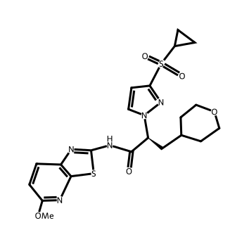 COc1ccc2nc(NC(=O)[C@H](CC3CCOCC3)n3ccc(S(=O)(=O)C4CC4)n3)sc2n1